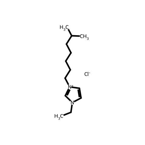 CCn1cc[n+](CCCCCC(C)C)c1.[Cl-]